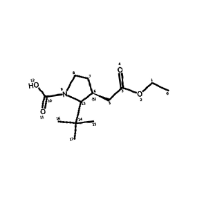 CCOC(=O)C[C@@H]1CCN(C(=O)O)C1C(C)(C)C